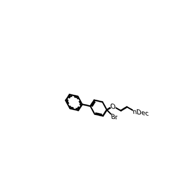 CCCCCCCCCCCCOC1(Br)C=CC(c2ccccc2)=CC1